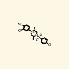 C=C1CN(c2ccc(C#N)c(Cl)c2)[C@@H](C)CN1S(=O)(=O)c1ccc(Cl)cc1